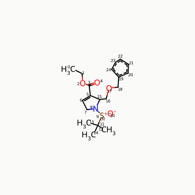 CCOC(=O)C1=CCN([S@+]([O-])C(C)(C)C)C1COCc1ccccc1